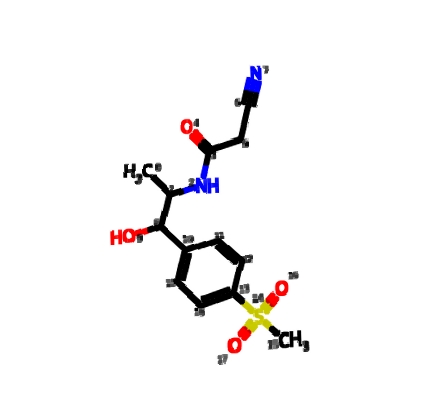 CC(NC(=O)CC#N)C(O)c1ccc(S(C)(=O)=O)cc1